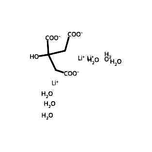 O.O.O.O.O.O.O=C([O-])CC(O)(CC(=O)[O-])C(=O)[O-].[Li+].[Li+].[Li+]